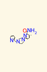 NC(=O)c1[c]ccc(N2CCCN(Cc3ccccn3)CC2)n1